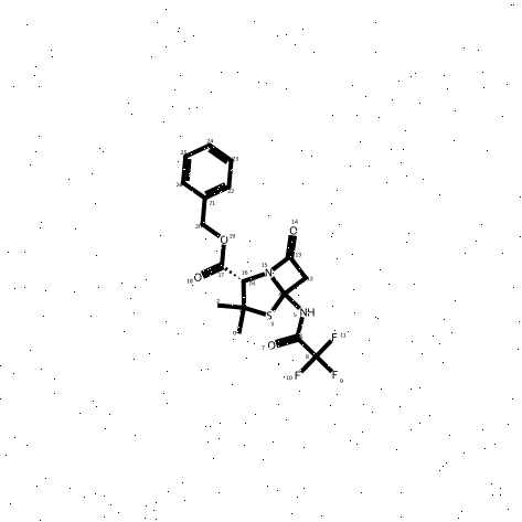 CC1(C)SC2(NC(=O)C(F)(F)F)CC(=O)N2[C@H]1C(=O)OCc1ccccc1